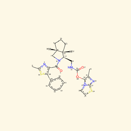 Cc1nc(C(=O)N2C[C@@H]3CCC[C@@H]3[C@H]2CNC(=O)Oc2c(C)nc3sccn23)c(-c2ccccc2)s1